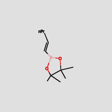 CCCC=CB1OC(C)(C)C(C)(C)O1